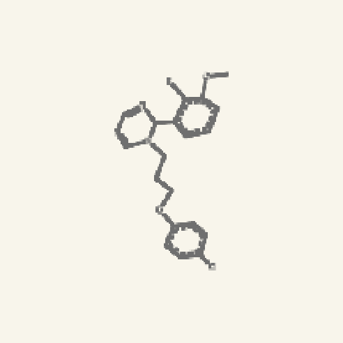 COc1cccc(C2N=CN=CN2CCCOc2ccc(Cl)cc2)c1F